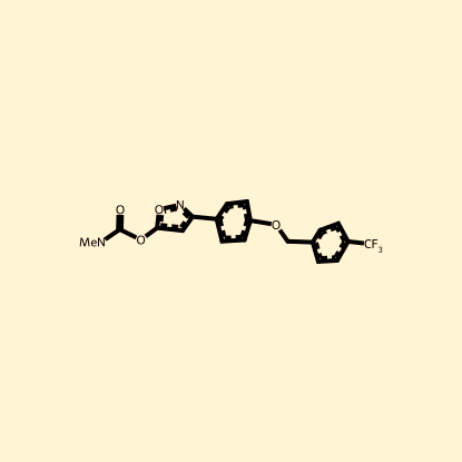 CNC(=O)Oc1cc(-c2ccc(OCc3ccc(C(F)(F)F)cc3)cc2)no1